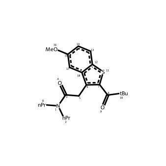 CCCN(CCC)C(=O)Cc1c(C(=O)C(C)(C)C)sc2ccc(OC)cc12